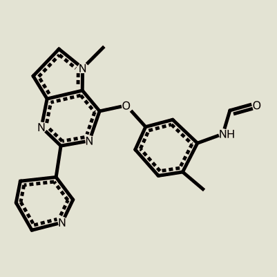 Cc1ccc(Oc2nc(-c3cccnc3)nc3ccn(C)c23)cc1NC=O